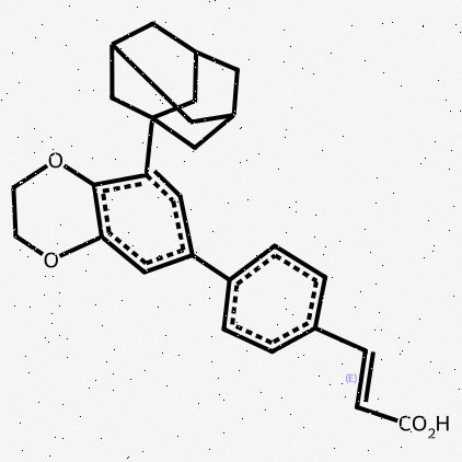 O=C(O)/C=C/c1ccc(-c2cc3c(c(C45CC6CC(CC(C6)C4)C5)c2)OCCO3)cc1